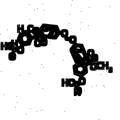 COC1(c2cccc(O[PH](=O)O)c2)OOC12C1CC3CC2CC(OCOC24CC5CC(C2)C2(OOC2(OC)c2cccc(O[PH](=O)O)c2)C(C5)C4)(C3)C1